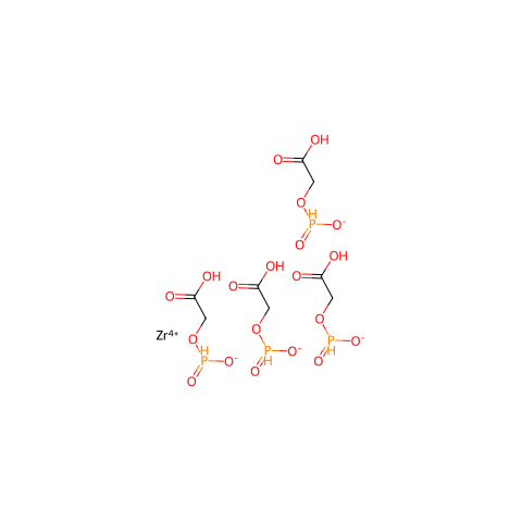 O=C(O)CO[PH](=O)[O-].O=C(O)CO[PH](=O)[O-].O=C(O)CO[PH](=O)[O-].O=C(O)CO[PH](=O)[O-].[Zr+4]